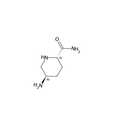 NC(=O)[C@@H]1CC[C@@H](N)CN1